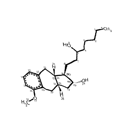 CCCCCC(O)CC[C@@H]1[C@H]2Cc3cccc(OC)c3C[C@H]2C[C@H]1O